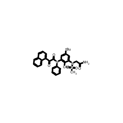 COc1c(N(C(=O)C(=O)c2cccc3ccccc23)c2ccccc2)cc(C(C)(C)C)cc1N(CC(N)=O)S(C)(=O)=O